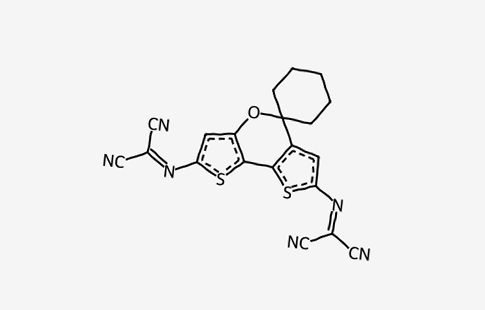 N#CC(C#N)=Nc1cc2c(s1)-c1sc(N=C(C#N)C#N)cc1C1(CCCCC1)O2